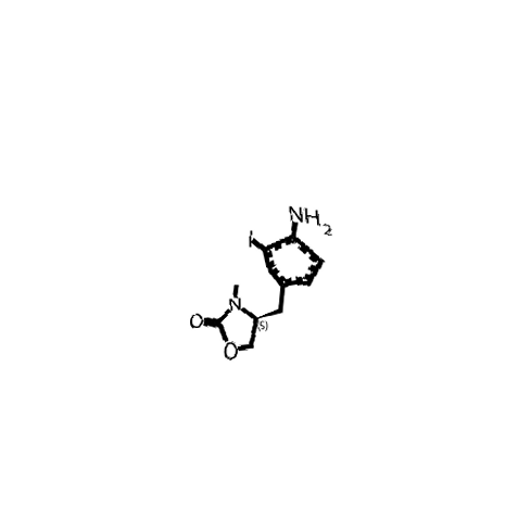 CN1C(=O)OC[C@@H]1Cc1ccc(N)c(I)c1